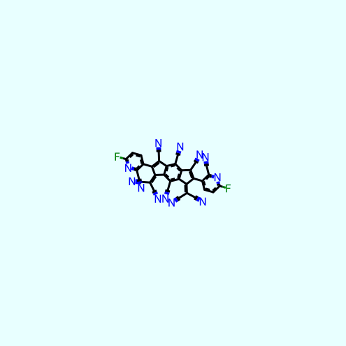 N#CC(C#N)=C1C(c2ccc(F)nc2C#N)=C(C#N)c2c(C#N)c3c(c(C#N)c21)C(=C(C#N)C#N)C(c1ccc(F)nc1C#N)=C3C#N